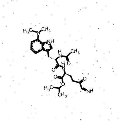 CC(=O)N[C@@H](Cc1c[nH]c2c(N(C)C)cccc12)C(=O)N[C@@H](CCC(=O)C=N)C(=O)OC(C)C